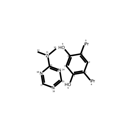 CC(C)c1cc(C(C)C)c(O)[c]c1O.[CH3][Zr]([CH3])[c]1ncncn1